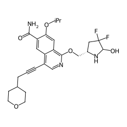 CC(C)Oc1cc2c(OC[C@@H]3CC(F)(F)C(O)N3)ncc(C#CCC3CCOCC3)c2cc1C(N)=O